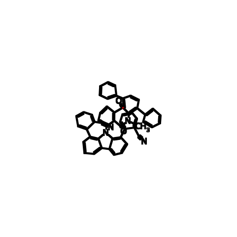 CN(C(=O)c1c(C=O)cccc1-n1c2c(-c3ccccc3C#N)cccc2c2cccc(-c3ccccc3C#N)c21)c1cc(-c2ccccc2)ccc1-c1ccccc1